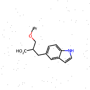 CC(C)OCC(Cc1ccc2[nH]ccc2c1)C(=O)O